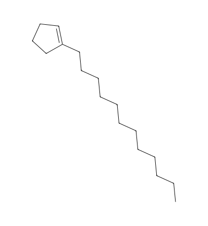 CCCCCCCCCCCCC1=CCCC1